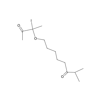 CC(=O)C(C)(I)OCCCCCC(=O)C(C)C